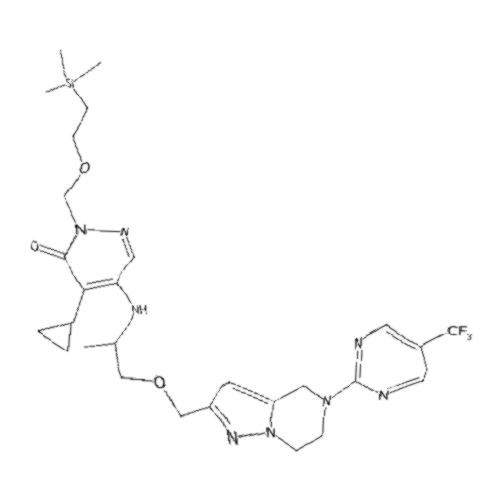 CC(COCc1cc2n(n1)CCN(c1ncc(C(F)(F)F)cn1)C2)Nc1cnn(COCC[Si](C)(C)C)c(=O)c1C1CC1